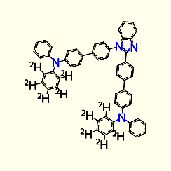 [2H]c1c([2H])c([2H])c(N(c2ccccc2)c2ccc(-c3ccc(-c4nc5ccccc5n4-c4ccc(-c5ccc(N(c6ccccc6)c6c([2H])c([2H])c([2H])c([2H])c6[2H])cc5)cc4)cc3)cc2)c([2H])c1[2H]